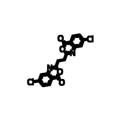 O=c1oc(CCc2nc3cc(Cl)ccc3c(=O)o2)nc2cc(Cl)ccc12